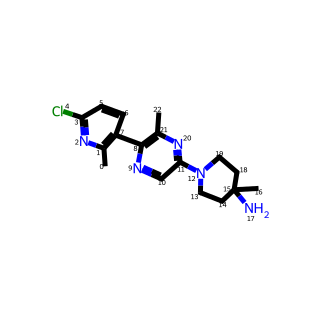 Cc1nc(Cl)ccc1-c1ncc(N2CCC(C)(N)CC2)nc1C